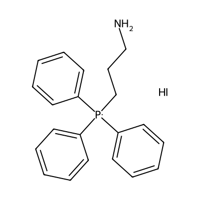 I.NCCC[P](c1ccccc1)(c1ccccc1)c1ccccc1